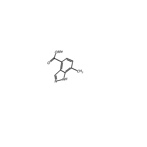 COC(=O)c1ccc(C)c2[nH]ncc12